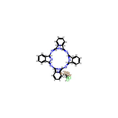 [Cl][Cu]([Cl])([Br])([Br])([Br])([Br])[c]1cccc2c3nc4nc(nc5[nH]c(nc6nc(nc([nH]3)c12)-c1ccccc1-6)c1ccccc51)-c1ccccc1-4